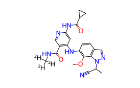 [2H]C([2H])([2H])NC(=O)c1cnc(NC(=O)C2CC2)cc1Nc1ccc2cnn(C(C)C#N)c2c1OC